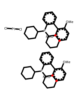 COc1cccc(OC)c1-c1ccccc1P(C1CCCCC1)C1CCCCC1.COc1cccc(OC)c1-c1ccccc1P(C1CCCCC1)C1CCCCC1.[Cl][Pt][Cl]